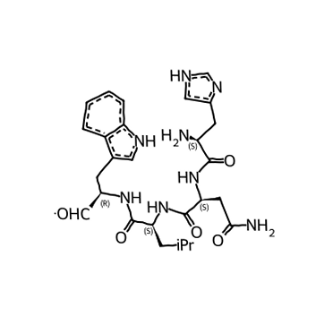 CC(C)C[C@H](NC(=O)[C@H](CC(N)=O)NC(=O)[C@@H](N)Cc1c[nH]cn1)C(=O)N[C@@H]([C]=O)Cc1c[nH]c2ccccc12